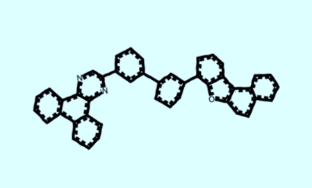 c1cc(-c2cccc(-c3cccc4c3oc3ccc5ccccc5c34)c2)cc(-c2cnc3c4ccccc4c4ccccc4c3n2)c1